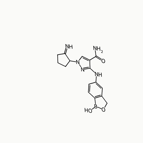 N=C1CCCC1n1cc(C(N)=O)c(Nc2ccc3c(c2)COB3O)n1